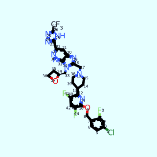 Fc1cc(Cl)ccc1COc1nc(C2CCN(Cc3nc4cc(-c5nnc(C(F)(F)F)[nH]5)nnc4n3C[C@@H]3CCO3)CC2)c(F)cc1F